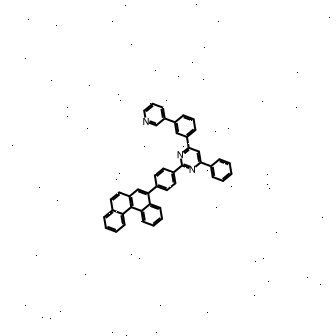 c1ccc(-c2cc(-c3cccc(-c4cccnc4)c3)nc(-c3ccc(-c4cc5ccc6ccccc6c5c5ccccc45)cc3)n2)cc1